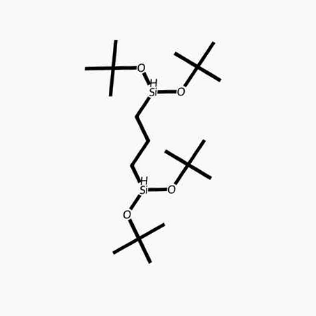 CC(C)(C)O[SiH](CCC[SiH](OC(C)(C)C)OC(C)(C)C)OC(C)(C)C